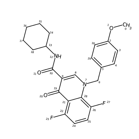 COc1ccc(Cn2cc(C(=O)NC3CCCCC3)c(=O)c3c(F)ccc(F)c32)cc1